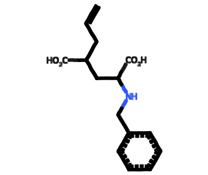 C=CCC(CC(NCc1ccccc1)C(=O)O)C(=O)O